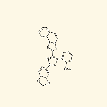 COc1ccccc1-n1nc(-c2ccc3c(c2)OCO3)n[n+]1-c1nc2c(ccc3ccccc32)s1